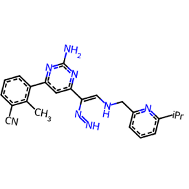 Cc1c(C#N)cccc1-c1cc(/C(=C/NCc2cccc(C(C)C)n2)N=N)nc(N)n1